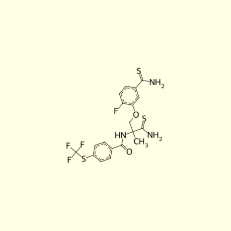 CC(COc1cc(C(N)=S)ccc1F)(NC(=O)c1ccc(SC(F)(F)F)cc1)C(N)=S